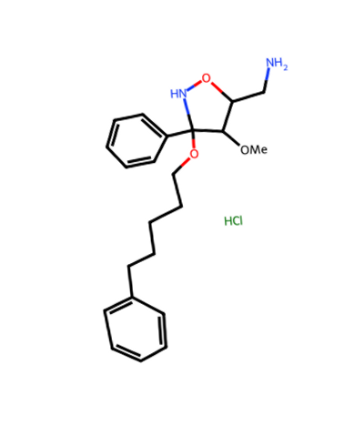 COC1C(CN)ONC1(OCCCCCc1ccccc1)c1ccccc1.Cl